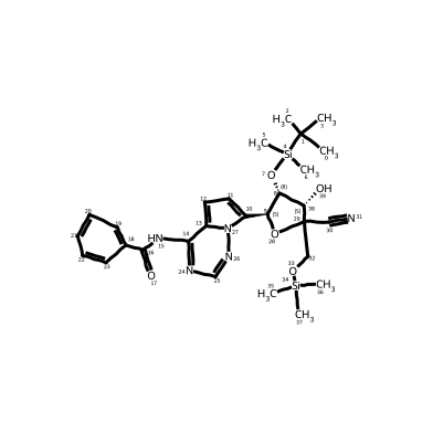 CC(C)(C)[Si](C)(C)O[C@H]1[C@H](c2ccc3c(NC(=O)c4ccccc4)ncnn23)OC(C#N)(CO[Si](C)(C)C)[C@H]1O